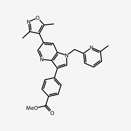 COC(=O)c1ccc(-c2cn(Cc3cccc(C)n3)c3cc(-c4c(C)noc4C)cnc23)cc1